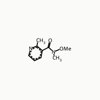 CON(C)C(=O)c1cccnc1C